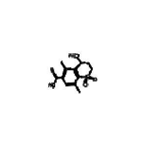 Cc1cc(C(=O)O)c(C)c2c1S(=O)(=O)CCC2O